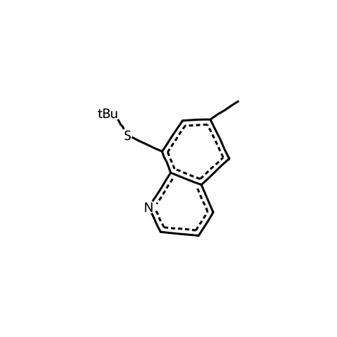 Cc1cc(SC(C)(C)C)c2ncccc2c1